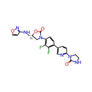 O=C1NCCN1c1ccc(-c2ccc(N3C[C@H](CNc4ccon4)OC3=O)c(F)c2F)cn1